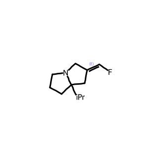 CC(C)C12CCCN1C/C(=C/F)C2